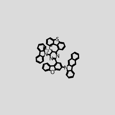 CC1C(c2cccc3sc4ccccc4c23)=NC(c2cc(-n3c4ccccc4c4cc5ccccc5cc43)cc3oc4ccccc4c23)=NC1n1c2ccccc2c2ccccc21